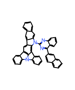 c1ccc2cc(-c3nc(-n4c5cc6ccccc6cc5c5cc6c7ccccc7n7c8ccccc8c(c54)c67)nc4ccccc34)ccc2c1